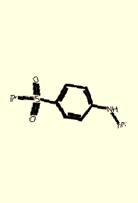 CCCNc1ccc(S(=O)(=O)C(C)C)cc1